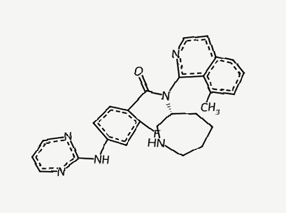 Cc1cccc2ccnc(N(C(=O)c3ccc(Nc4ncccn4)cc3F)[C@@H]3CCCCNC3)c12